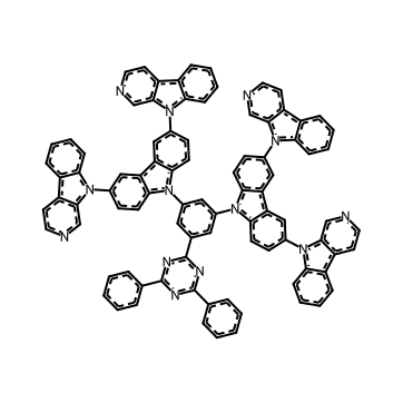 c1ccc(-c2nc(-c3ccccc3)nc(-c3cc(-n4c5ccc(-n6c7ccccc7c7ccncc76)cc5c5cc(-n6c7ccccc7c7ccncc76)ccc54)cc(-n4c5ccc(-n6c7ccccc7c7ccncc76)cc5c5cc(-n6c7ccccc7c7ccncc76)ccc54)c3)n2)cc1